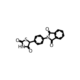 O=C1NC(=O)C(c2ccc(N3C(=O)c4ccccc4C3=O)cc2)S1